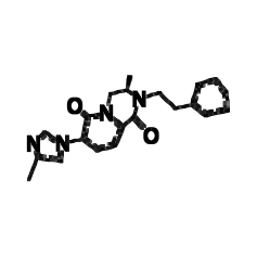 Cc1cn(-c2ccc3n(c2=O)C[C@@H](C)N(CCc2ccccc2)C3=O)cn1